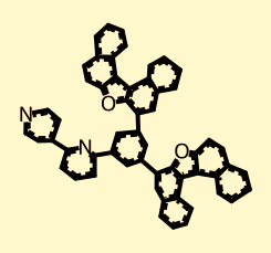 c1cc(-c2ccncc2)nc(-c2cc(-c3cc4ccccc4c4c3oc3ccc5ccccc5c34)cc(-c3cc4ccccc4c4c3oc3ccc5ccccc5c34)c2)c1